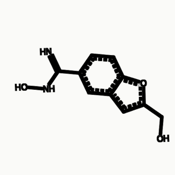 N=C(NO)c1ccc2oc(CO)cc2c1